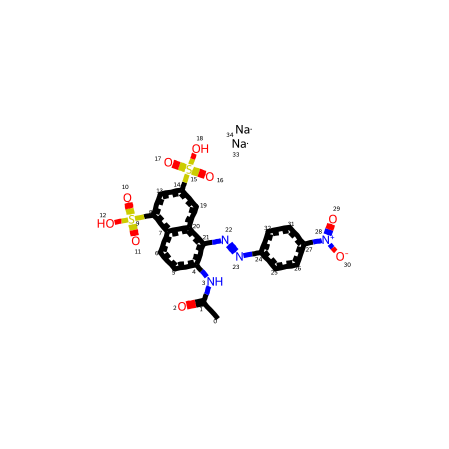 CC(=O)Nc1ccc2c(S(=O)(=O)O)cc(S(=O)(=O)O)cc2c1N=Nc1ccc([N+](=O)[O-])cc1.[Na].[Na]